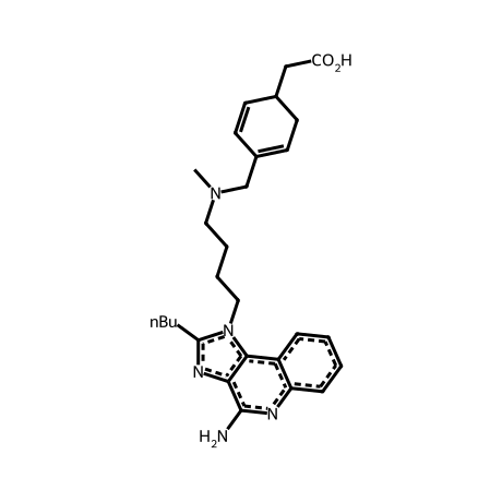 CCCCc1nc2c(N)nc3ccccc3c2n1CCCCN(C)CC1=CCC(CC(=O)O)C=C1